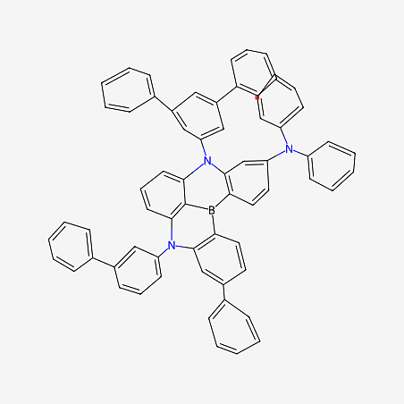 c1ccc(-c2cccc(N3c4cc(-c5ccccc5)ccc4B4c5ccc(N(c6ccccc6)c6ccccc6)cc5N(c5cc(-c6ccccc6)cc(-c6ccccc6)c5)c5cccc3c54)c2)cc1